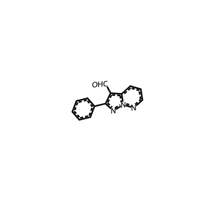 O=Cc1c(-c2ccccc2)nn2ncccc12